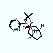 CN(c1nccnn1)C1C[C@H]2CC[C@@H](C1)N2C(=O)OC(C)(C)C